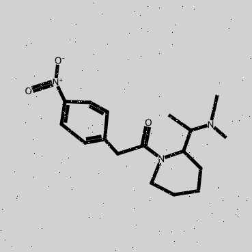 CC(C1CCCCN1C(=O)Cc1ccc([N+](=O)[O-])cc1)N(C)C